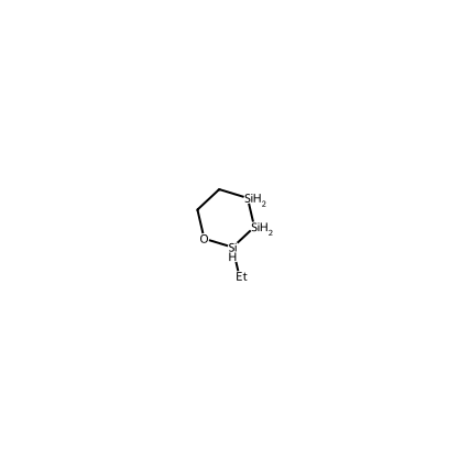 CC[SiH]1OCC[SiH2][SiH2]1